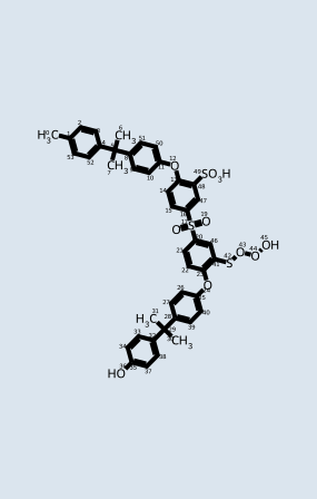 Cc1ccc(C(C)(C)c2ccc(Oc3ccc(S(=O)(=O)c4ccc(Oc5ccc(C(C)(C)c6ccc(O)cc6)cc5)c(SOOO)c4)cc3S(=O)(=O)O)cc2)cc1